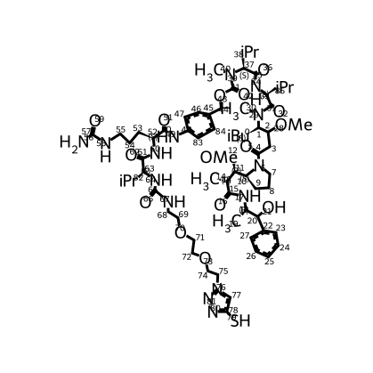 CC[C@H](C)C(C(CC(=O)N1CCC[C@H]1[C@H](OC)[C@@H](C)C(=O)N[C@H](C)C(O)c1ccccc1)OC)N(C)C(=O)[C@@H](NC(=O)[C@H](C(C)C)N(C)C(=O)OCc1ccc(NC(=O)[C@H](CCCNC(N)=O)NC(=O)[C@@H](NC(=O)NCCOCCOCCn2cc(S)nn2)C(C)C)cc1)C(C)C